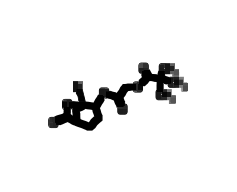 CC(C)(C)C(=O)OCC(=O)OC1CCC2C[C@@H]1OC2=O